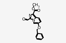 COC(=O)c1nc(C=O)n2cc(OCc3ccccc3)ccc12